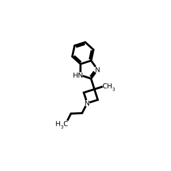 CCCN1CC(C)(c2nc3ccccc3[nH]2)C1